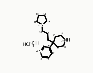 Cl.Cl.c1cncc(C2(CCCN3CCCC3)CCNCC2)c1